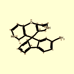 Bc1ccc2c(c1)C1(C3=C(C=CNC3)OC3=C1CNC=C3)c1ccccc1-2